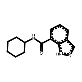 O=C(NC1CCCCC1)c1cccc2cn[nH]c12